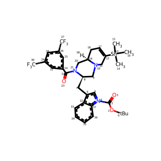 CC(C)(C)OC(=O)n1cc(C[C@@H]2CN3C[C]([Sn]([CH3])([CH3])[CH3])=CC[C@@H]3CN2C(=O)c2cc(C(F)(F)F)cc(C(F)(F)F)c2)c2ccccc21